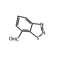 O=Cc1cccc2nnsc12